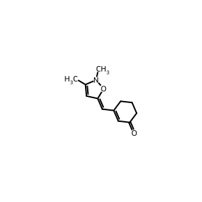 CC1=CC(=CC2=CC(=O)CCC2)ON1C